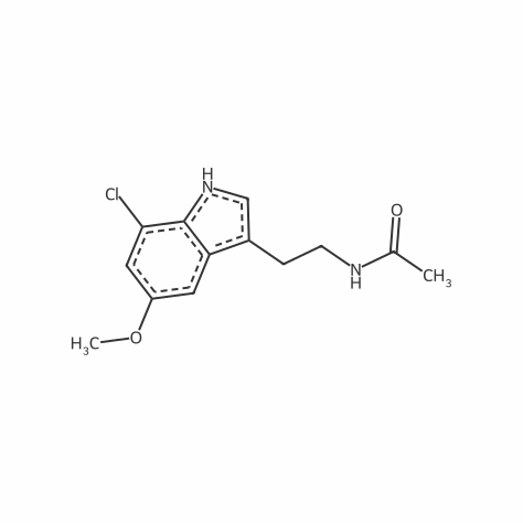 COc1cc(Cl)c2[nH]cc(CCNC(C)=O)c2c1